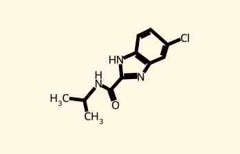 CC(C)NC(=O)c1nc2cc(Cl)ccc2[nH]1